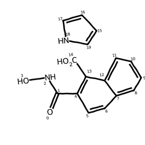 O=C(NO)c1ccc2ccccc2c1C(=O)O.c1cc[nH]c1